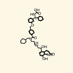 O=C(O)N[C@@H](c1ccccc1)c1cccc(OCc2ccc(C(=O)N(CCCNCC(O)c3ccc(O)c4[nH]c(=O)ccc34)CC3CCCCC3)cc2)c1